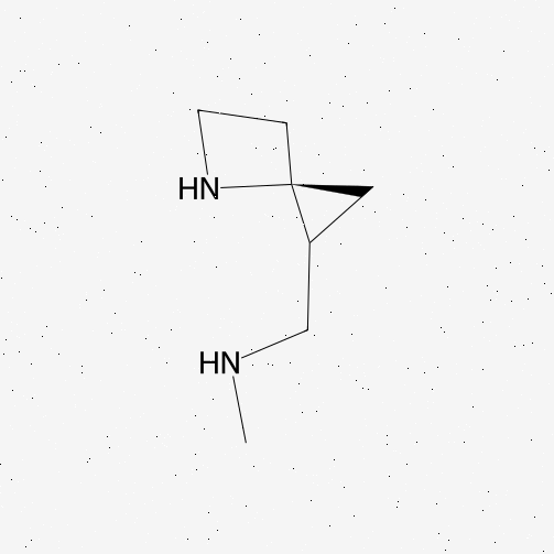 CNCC1C[C@@]12CCN2